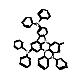 Cc1cc2c3c(c1)-n1c4ccc(N(c5ccccc5)c5ccccc5)cc4c4cc(N(c5ccccc5)c5ccccc5)cc(c41)B3c1ccccc1N2c1ccccc1